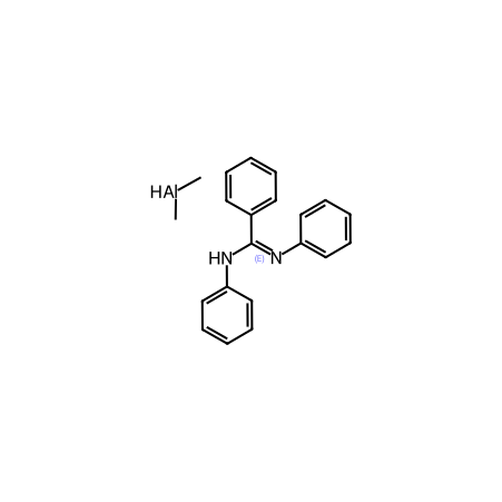 [CH3][AlH][CH3].c1ccc(/N=C(/Nc2ccccc2)c2ccccc2)cc1